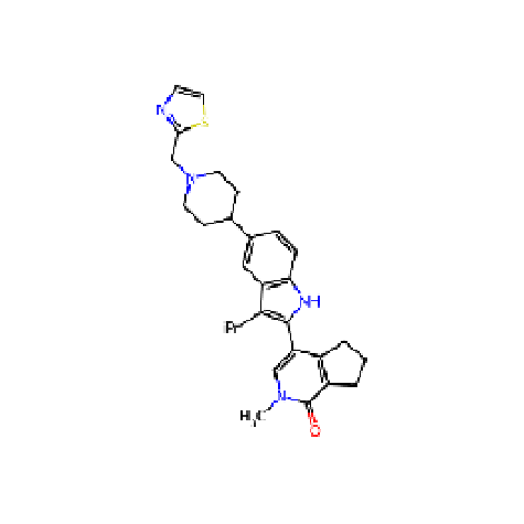 CC(C)c1c(-c2cn(C)c(=O)c3c2CCC3)[nH]c2ccc(C3CCN(Cc4nccs4)CC3)cc12